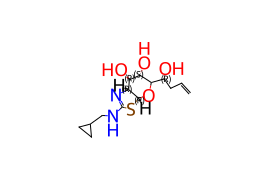 C=CC[C@@H](O)C1O[C@@H]2SC(NCC3CC3)=N[C@@H]2[C@@H](O)[C@@H]1O